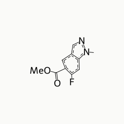 COC(=O)c1cc2cnn(C)c2cc1F